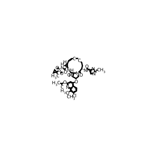 COc1c(Cl)ccc2c(O[C@@H]3C[C@H]4C(=O)N[C@]5(C(=O)NS(=O)(=O)C6(C)CC6)C[C@H]5C=CCCCCC[C@H](NC(=O)c5cnn(C)n5)C(=O)N4C3)cc(OC(C)C)nc12